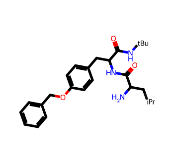 CC(C)CC(N)C(=O)NC(Cc1ccc(OCc2ccccc2)cc1)C(=O)NC(C)(C)C